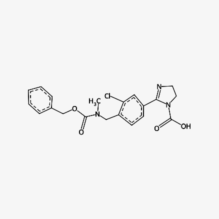 CN(Cc1ccc(C2=NCCN2C(=O)O)cc1Cl)C(=O)OCc1ccccc1